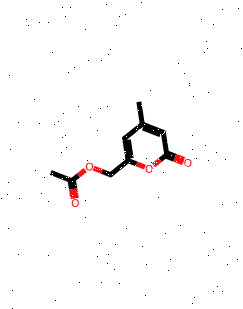 CC(=O)OCc1cc(C)cc(=O)o1